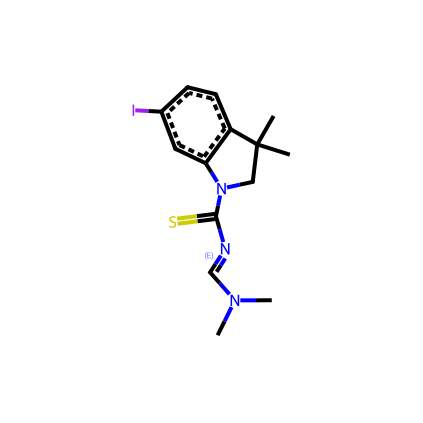 CN(C)/C=N/C(=S)N1CC(C)(C)c2ccc(I)cc21